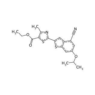 CCOC(=O)c1sc(-c2cc3c(C#N)cc(OC(C)C)cc3s2)nc1C